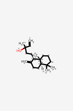 C=CC(C)(O)CC[C@@H]1C(=C)CC[C@@H]2C(C)(C)CCC[C@@]12C